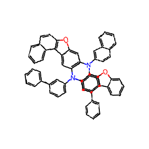 c1ccc(-c2cccc(N(c3cccc(-c4ccccc4)c3)c3cc4c(cc3N(c3ccc5ccccc5c3)c3cccc5c3oc3ccccc35)oc3ccc5ccccc5c34)c2)cc1